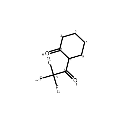 O=C1CCCCC1C(=O)C(F)(F)Cl